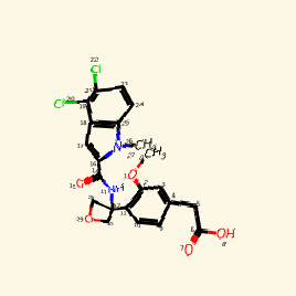 COc1cc(CC(=O)O)ccc1C1(NC(=O)c2cc3c(Cl)c(Cl)ccc3n2C)COC1